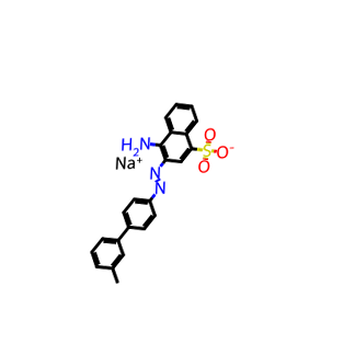 Cc1cccc(-c2ccc(N=Nc3cc(S(=O)(=O)[O-])c4ccccc4c3N)cc2)c1.[Na+]